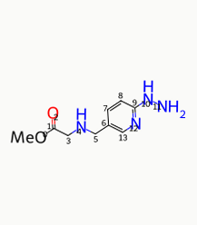 COC(=O)CNCc1ccc(NN)nc1